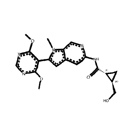 COc1ncnc(OC)c1-c1cc2cc(NC(=O)[C@@H]3C[C@H]3CO)ncc2n1C